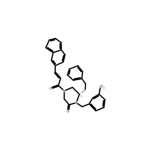 O=C(/C=C/c1ccc2ccccc2c1)N1CC(=O)N(Cc2cccc(C(F)(F)F)c2)[C@@H](CCc2ccccc2)C1